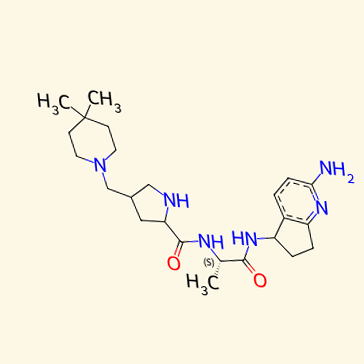 C[C@H](NC(=O)C1CC(CN2CCC(C)(C)CC2)CN1)C(=O)NC1CCc2nc(N)ccc21